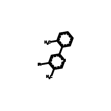 Cc1ccccc1-c1cc(C(C)C)c(C)cn1